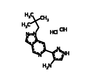 CC(C)(C)Cn1ncc2cnc(-c3n[nH]cc3N)cc21.Cl.Cl